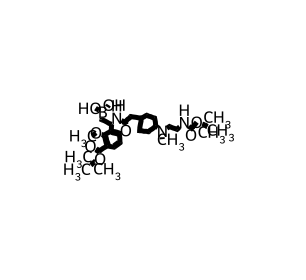 COc1c(C(=O)OC(C)(C)C)cccc1C(CB(O)O)NC(=O)CC1CCC(N(C)CCNC(=O)OC(C)(C)C)CC1